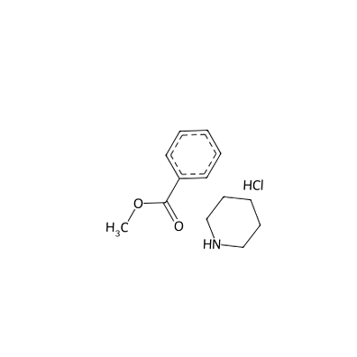 C1CCNCC1.COC(=O)c1ccccc1.Cl